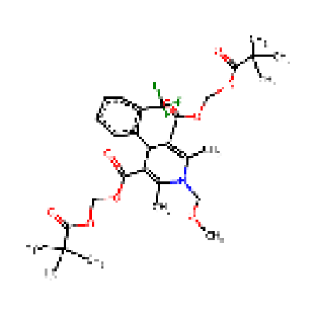 COCN1C(C)=C(C(=O)OCOC(=O)C(C)(C)C)C(c2ccccc2C(F)(F)F)C(C(=O)OCOC(=O)C(C)(C)C)=C1C